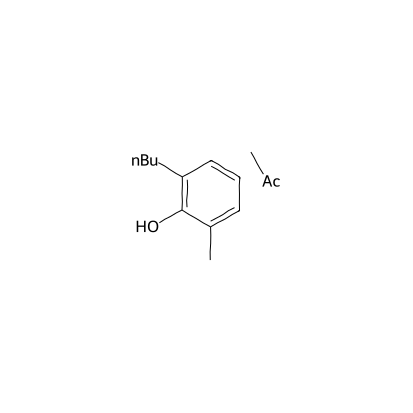 CC(C)=O.CCCCc1cccc(C)c1O